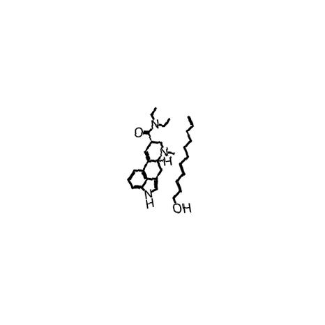 C=CCCCCCCCCCO.CCN(CC)C(=O)[C@@H]1C=C2c3cccc4[nH]cc(c34)C[C@H]2N(C)C1